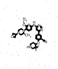 COc1nc(Nc2cc(-c3ccc(OC4CCNCC4(F)F)c(C#N)c3)ncn2)ccc1N1CCN(C2COC2)C[C@@H]1C